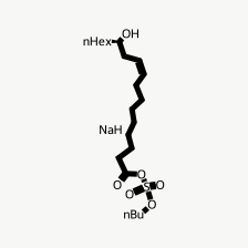 CCCCCC[C@@H](O)C/C=C\CCCCCCCC(=O)OS(=O)(=O)OCCCC.[NaH]